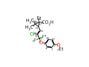 CCOc1ccc(OC(F)(F)C(Cl)=CC2C(C)(C)C2(CC)C(=O)O)cc1